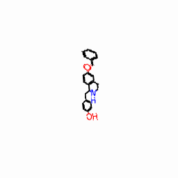 Oc1ccc(CC2NCCc3cc(OCc4ccccc4)ccc32)cc1